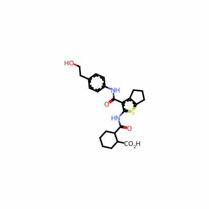 O=C(Nc1ccc(CCO)cc1)c1c(NC(=O)C2CCCCC2C(=O)O)sc2c1CCC2